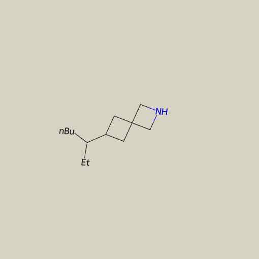 CCCCC(CC)C1CC2(CNC2)C1